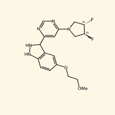 COCCOc1ccc2c(c1)C(c1cc(N3C[C@H](F)[C@@H](F)C3)ncn1)NN2